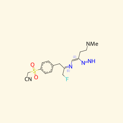 CNCC/C(=C/N=C(/CF)Cc1ccc(S(=O)(=O)CC#N)cc1)N=N